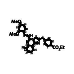 CCOC(=O)c1ccc(Cc2cn3c(NCc4ccc(OC)cc4OC)nc4c(F)cccc4c3n2)cc1